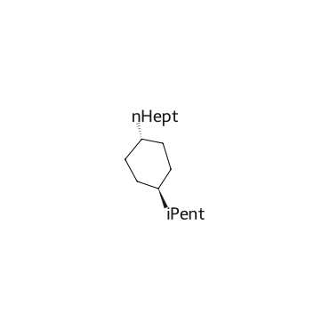 [CH2]CCC(C)[C@H]1CC[C@H](CCCCCCC)CC1